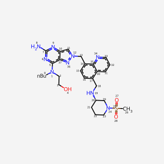 CCCCN(CCO)c1nc(N)nc2cn(Cc3ccc(CN[C@@H]4CCCN(S(C)(=O)=O)C4)c4cccnc34)nc12